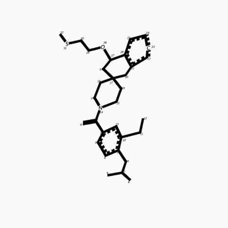 C=C(c1ccc(CC(C)C)c(CC)c1)N1CCC2(CC1)Cc1ccccc1C(OCCSC)C2